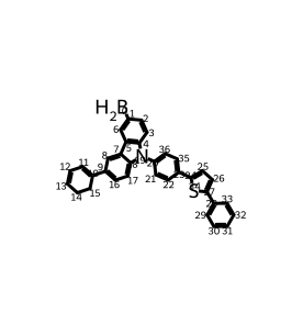 Bc1ccc2c(c1)c1cc(C3=CC=CCC3)ccc1n2-c1ccc(-c2ccc(-c3ccccc3)s2)cc1